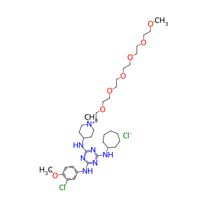 COCCOCCOCCOCCOCCOCC[N+]1(C)CCC(Nc2nc(Nc3ccc(OC)c(Cl)c3)nc(NC3CCCCCC3)n2)CC1.[Cl-]